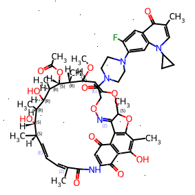 CO[C@H]1/C=C/O[C@@]2(C)Oc3c(C)c(O)c4c(c3/C2=N/OCC(=O)N2CCN(c3cc5c(cc3F)c(=O)c(C)cn5C3CC3)CC2)C(=O)C=C(NC(=O)/C(C)=C\C=C\[C@H](C)[C@H](O)[C@@H](C)[C@@H](O)[C@@H](C)[C@H](OC(C)=O)[C@@H]1C)C4=O